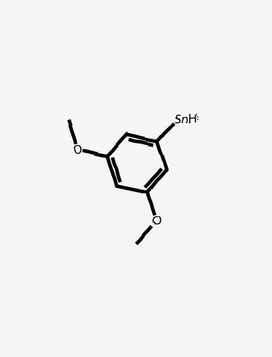 COc1c[c]([SnH])cc(OC)c1